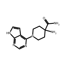 NC(=O)C1(N)CCN(c2ncnc3[nH]ccc23)CC1